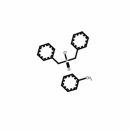 Cc1ccccc1.O=P(Cl)(Cc1ccccc1)Cc1ccccc1